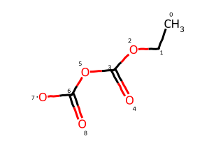 CCOC(=O)OC([O])=O